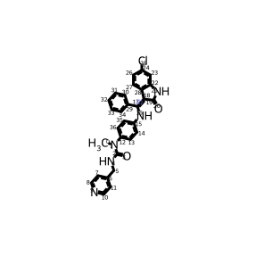 CN(C(=O)NCc1ccncc1)c1ccc(N/C(=C2\C(=O)Nc3cc(Cl)ccc32)c2ccccc2)cc1